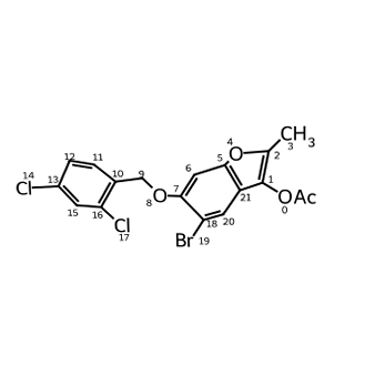 CC(=O)Oc1c(C)oc2cc(OCc3ccc(Cl)cc3Cl)c(Br)cc12